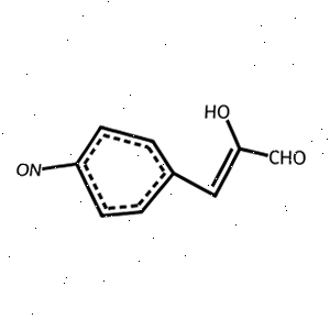 O=C/C(O)=C/c1ccc(N=O)cc1